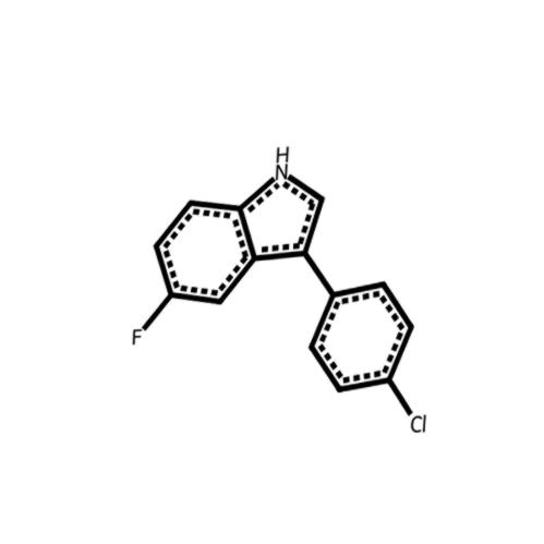 Fc1ccc2[nH]cc(-c3ccc(Cl)cc3)c2c1